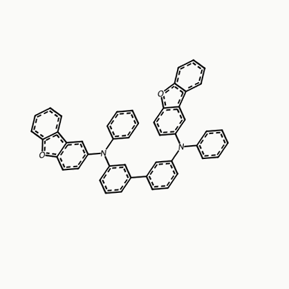 c1ccc(N(c2cccc(-c3cccc(N(c4ccccc4)c4ccc5oc6ccccc6c5c4)c3)c2)c2ccc3oc4ccccc4c3c2)cc1